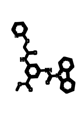 COC(=O)c1cc(NC(=O)COc2ccccn2)cc(NC(=O)n2c3ccccc3c3ccccc32)c1